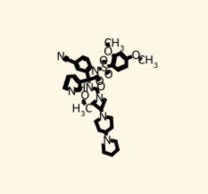 CCOc1ncccc1[C@]1(NC(=O)N2CC(N3CCC(N4CCCCC4)CC3)C2)C(=O)N(S(=O)(=O)c2ccc(OC)cc2OC)c2ccc(C#N)cc21